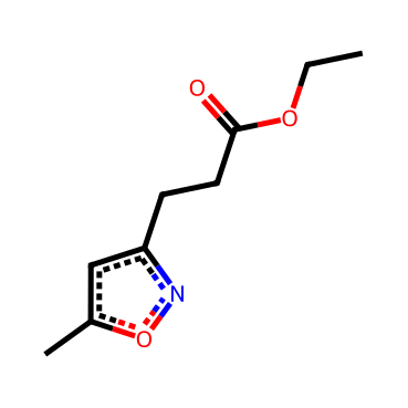 CCOC(=O)CCc1cc(C)on1